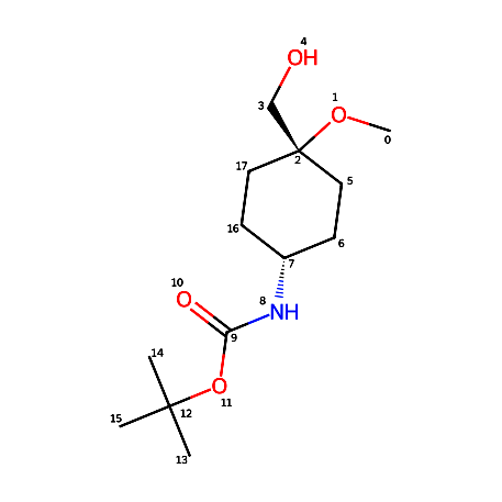 CO[C@]1(CO)CC[C@H](NC(=O)OC(C)(C)C)CC1